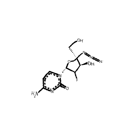 [N-]=[N+]=N[C@]1(CO)O[C@@H](n2ccc(N)nc2=O)C(F)[C@@H]1O